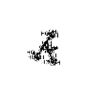 CC(=O)N[C@H]1C(OCCOCCNC(=O)C(CCC(=O)NCCOCCOC2O[C@H](CCO)[C@H](O)[C@H](O)[C@H]2NC(C)=O)NC(=O)CCC(NC(=O)C2CCC(OC(C)(C)C)CC2)C(=O)NCCOCCOC2O[C@H](CCO)[C@H](O)[C@H](O)[C@H]2NC(C)=O)O[C@H](CO)[C@H](O)[C@@H]1O